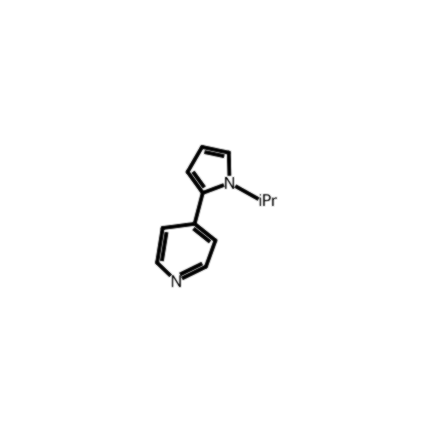 CC(C)n1cccc1-c1ccncc1